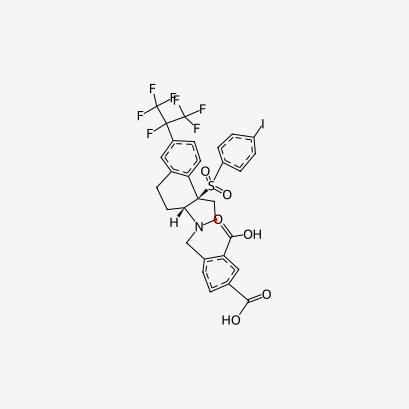 O=C(O)c1ccc(CN2CC[C@@]3(S(=O)(=O)c4ccc(I)cc4)c4ccc(C(F)(C(F)(F)F)C(F)(F)F)cc4CC[C@@H]23)c(C(=O)O)c1